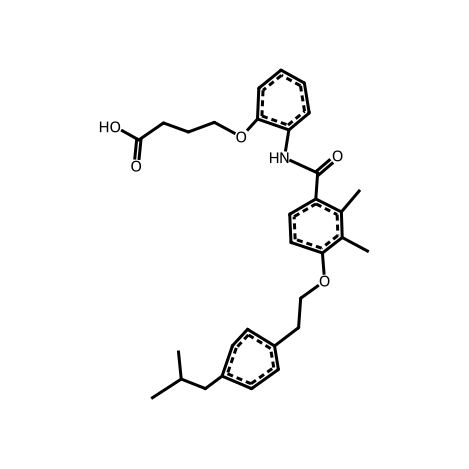 Cc1c(OCCc2ccc(CC(C)C)cc2)ccc(C(=O)Nc2ccccc2OCCCC(=O)O)c1C